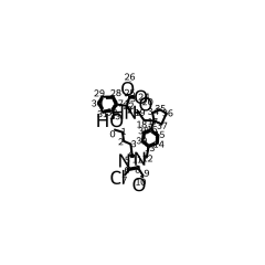 CCCCc1nc(Cl)c(C=O)n1Cc1ccc(C2(CC(=O)NC(C(=O)OC)c3ccccc3O)CCCC2)cc1